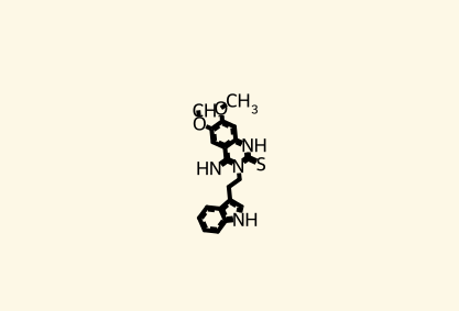 COc1cc2[nH]c(=S)n(CCc3c[nH]c4ccccc34)c(=N)c2cc1OC